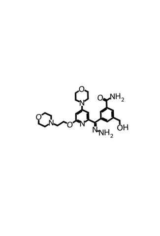 N/N=C(\c1cc(CO)cc(C(N)=O)c1)c1cc(N2CCOCC2)cc(OCCN2CCOCC2)n1